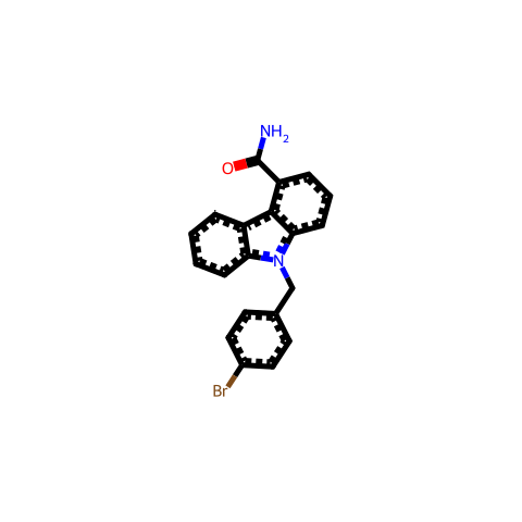 NC(=O)c1cccc2c1c1[c]cccc1n2Cc1ccc(Br)cc1